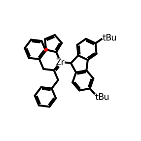 CC(C)(C)c1ccc2c(c1)-c1cc(C(C)(C)C)ccc1[CH]2[Zr]([C]1=CC=CC1)=[C](Cc1ccccc1)Cc1ccccc1